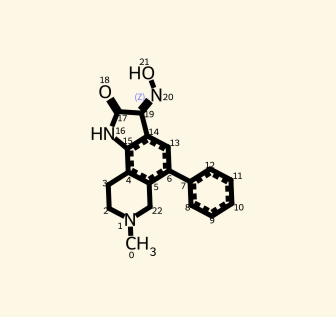 CN1CCc2c(c(-c3ccccc3)cc3c2NC(=O)/C3=N\O)C1